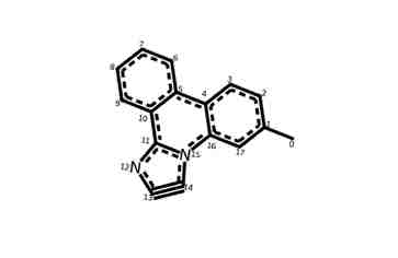 Cc1ccc2c3ccccc3c3nc#cn3c2c1